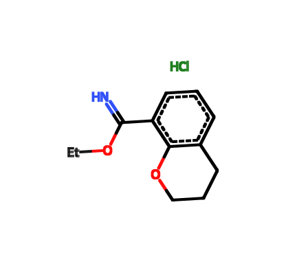 CCOC(=N)c1cccc2c1OCCC2.Cl